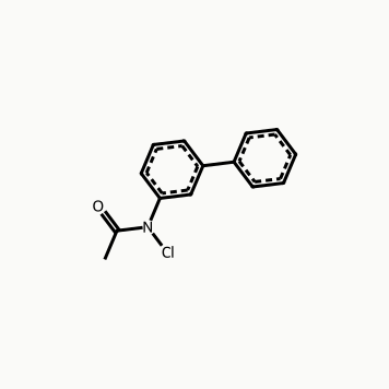 CC(=O)N(Cl)c1cccc(-c2ccccc2)c1